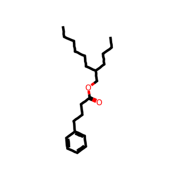 CCCCCCC(CCCC)COC(=O)CCCc1ccccc1